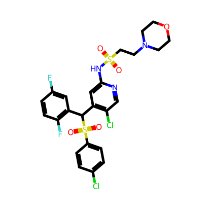 O=S(=O)(CCN1CCOCC1)Nc1cc(C(c2cc(F)ccc2F)S(=O)(=O)c2ccc(Cl)cc2)c(Cl)cn1